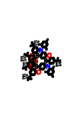 CCC(C)(C)c1cc2c3c(c1)Oc1c(sc4ccc(C(C)(C)CC)cc14)B3c1cc3c(cc1O2)N(c1c(C)cc(C)cc1C)c1cc(C(C)(C)CC)cc2c1B3c1cc3c(cc1O2)N(c1c(C)cc(C)cc1C)c1cc(C(C)(C)CC)cc2c1B3c1sc3ccc(C(C)(C)CC)cc3c1O2